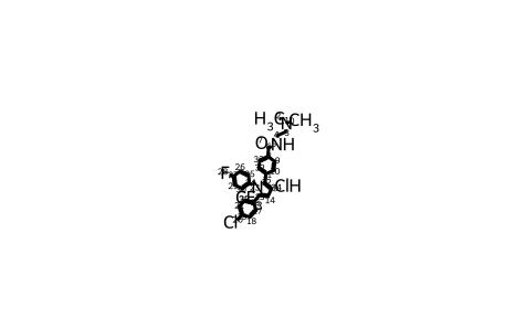 CN(C)CCNC(=O)c1ccc(-c2ccc(-c3ccc(Cl)cc3)n2-c2ccc(F)cc2C(F)(F)F)cc1.Cl